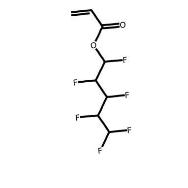 C=CC(=O)OC(F)C(F)C(F)C(F)C(F)F